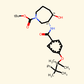 CC(C)C(C)(C)[Si](C)(C)Oc1ccc(C(=O)N[C@@H]2CN(C(=O)OC(C)(C)C)CCC[C@H]2O)cc1